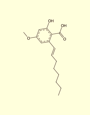 CCCCCCC=Cc1cc(OC)cc(O)c1C(=O)O